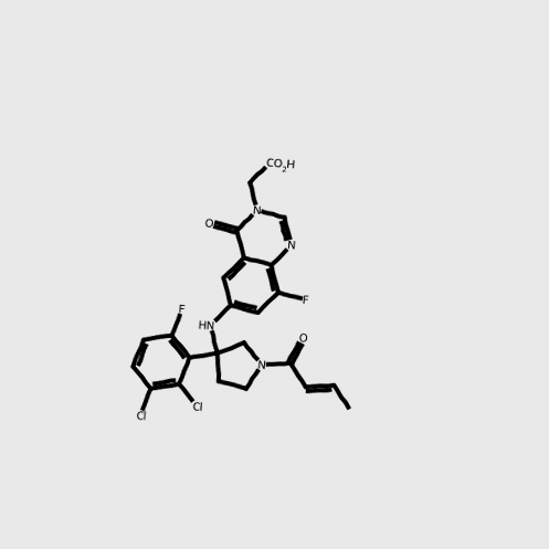 C/C=C/C(=O)N1CCC(Nc2cc(F)c3ncn(CC(=O)O)c(=O)c3c2)(c2c(F)ccc(Cl)c2Cl)C1